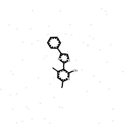 Cc1cc(C)c(-c2nc(-c3ccccc3)cs2)c(O)n1